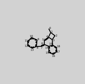 CC1CC2C1=[C]C(=Cc1ccccc1)c1ccccc12